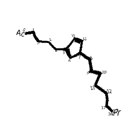 CC(=O)CCCCC1=CC(CCCCCCC(C)C)C=C1